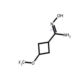 N/C(=N\O)C1CC(OC(F)(F)F)C1